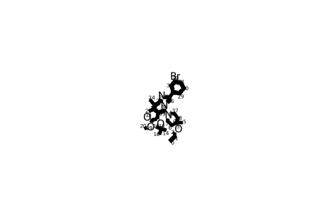 C=CCOC1(C)CCN(c2c(C(OC(C)(C)C)C(=O)OC)c(C)c(C)c3nc(-c4cccc(Br)c4)cn23)CC1